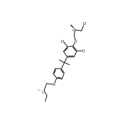 CC[C@H](C)COc1ccc(C(C)(C)c2cc(Cl)c(OC[C@@H](C)CCl)c(Cl)c2)cc1